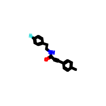 Cc1ccc(C#CC(=O)NCCc2ccc(F)cc2)cc1